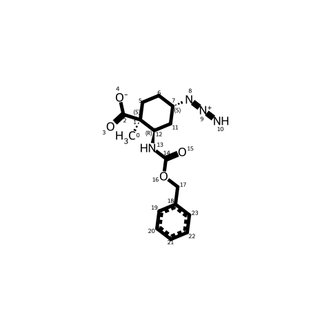 C[C@]1(C(=O)[O-])CC[C@H](N=[N+]=N)C[C@H]1NC(=O)OCc1ccccc1